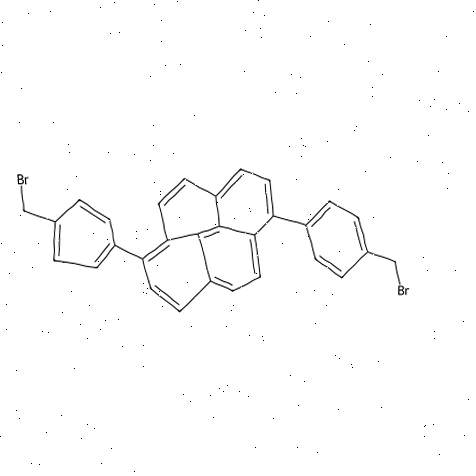 BrCc1ccc(-c2ccc3ccc4c(-c5ccc(CBr)cc5)ccc5ccc2c3c54)cc1